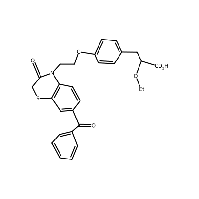 CCOC(Cc1ccc(OCCN2C(=O)CSc3cc(C(=O)c4ccccc4)ccc32)cc1)C(=O)O